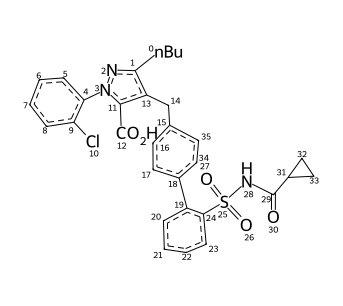 CCCCc1nn(-c2ccccc2Cl)c(C(=O)O)c1Cc1ccc(-c2ccccc2S(=O)(=O)NC(=O)C2CC2)cc1